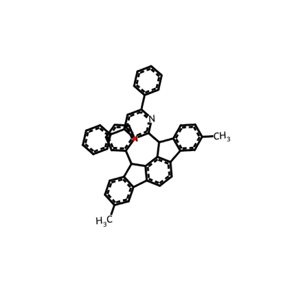 Cc1ccc2c(c1)-c1ccc3c(c1C2c1ccccc1)C(c1nc(-c2ccccc2)cc(-c2ccccc2)n1)c1ccc(C)cc1-3